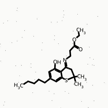 CCCCCc1cc(O)c2c(c1)SC(C)(C)CC2=NCCC(=O)OCC